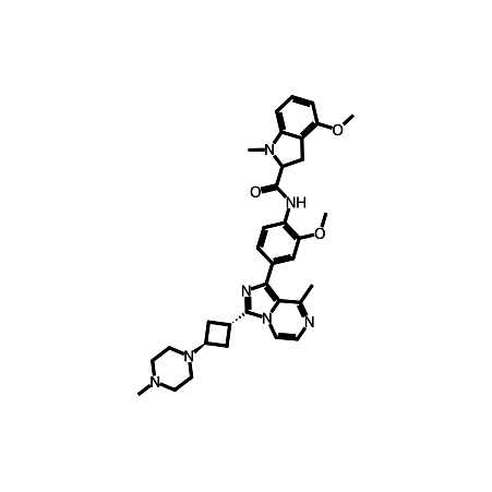 COc1cc(-c2nc([C@H]3C[C@H](N4CCN(C)CC4)C3)n3ccnc(C)c23)ccc1NC(=O)C1Cc2c(OC)cccc2N1C